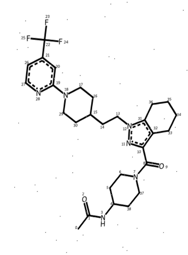 CC(=O)NC1CCN(C(=O)c2nn(CCC3CCN(c4cc(C(F)(F)F)ccn4)CC3)c3c2CCCC3)CC1